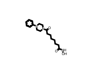 O=C(CCCCCCC(=O)N1CCN(c2ccccc2)CC1)NO